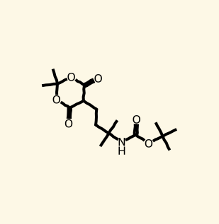 CC(C)(CCC1C(=O)OC(C)(C)OC1=O)NC(=O)OC(C)(C)C